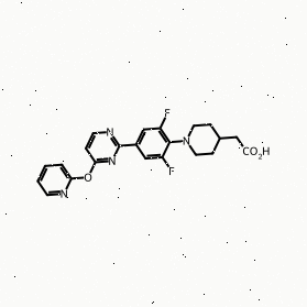 O=C(O)CC1CCN(c2c(F)cc(-c3nccc(Oc4ccccn4)n3)cc2F)CC1